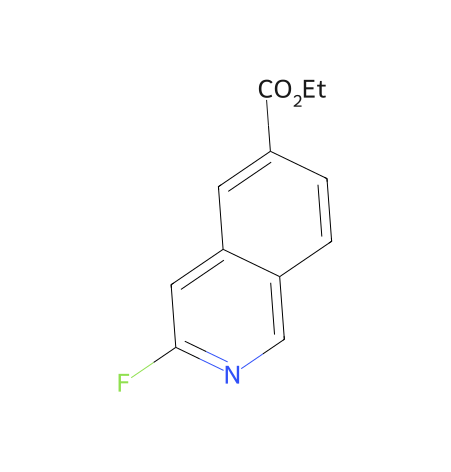 CCOC(=O)c1ccc2cnc(F)cc2c1